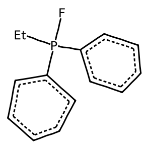 CC[P](F)(c1ccccc1)c1ccccc1